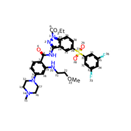 CCOC(=O)n1nc(NC(=O)c2ccc(N3CCN(C)CC3)cc2NCCOC)c2cc(S(=O)(=O)c3cc(F)cc(F)c3)ccc21